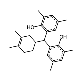 CC1=C(C)CC(C(c2cc(C)cc(C)c2O)c2cc(C)cc(C)c2O)CC1